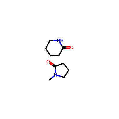 CN1CCCC1=O.O=C1CCCCN1